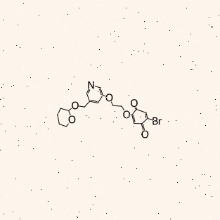 O=C1C=C(OCCOc2cncc(COC3CCCCO3)c2)C(=O)C=C1Br